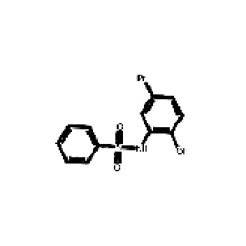 CC(C)c1ccc(O)c(NS(=O)(=O)c2ccccc2)c1